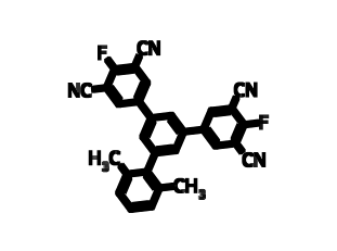 Cc1cccc(C)c1-c1cc(-c2cc(C#N)c(F)c(C#N)c2)cc(-c2cc(C#N)c(F)c(C#N)c2)c1